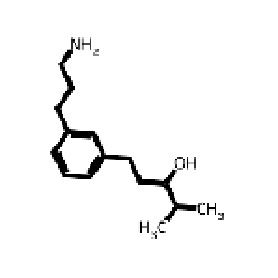 CC(C)C(O)CCc1cccc(CCCN)c1